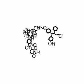 [2H]C1([2H])N(CC2CCN(CCOc3ccc(C(=C(CCCl)c4ccccc4)c4ccc(O)cc4)cc3)CC2)C([2H])([2H])C([2H])([2H])N(c2ccc3c(c2)C(=O)N(C2CCC(=O)NC2=O)C3=O)C1([2H])[2H]